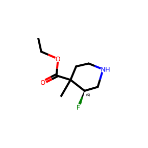 CCOC(=O)C1(C)CCNC[C@H]1F